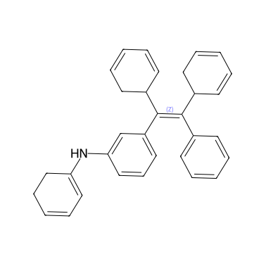 C1=CCCC(Nc2cccc(/C(=C(\c3ccccc3)C3C=CC=CC3)C3C=CC=CC3)c2)=C1